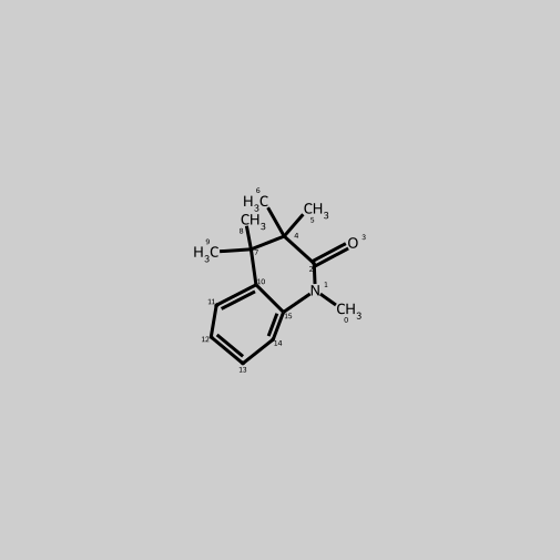 CN1C(=O)C(C)(C)C(C)(C)c2ccccc21